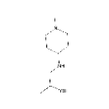 CC(O)CNC1CCN(C)CC1